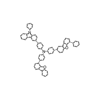 c1ccc(-c2cccc3c2oc2ccc(-c4ccc(N(c5ccc(-c6ccc7c(c6)c6ccccc6n7-c6ccccc6)cc5)c5ccc(-c6cccc7c6oc6ccccc67)cc5)cc4)cc23)cc1